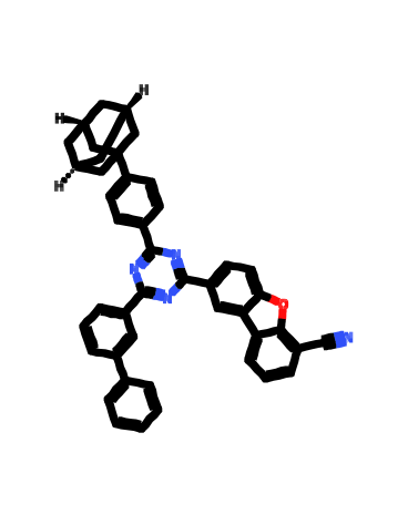 N#Cc1cccc2c1oc1ccc(-c3nc(-c4ccc(C56C[C@H]7C[C@H](C5)C[C@@H](C6)C7)cc4)nc(-c4cccc(-c5ccccc5)c4)n3)cc12